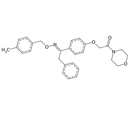 Cc1ccc(CO/N=C(\Cc2ccccc2)c2ccc(OCC(=O)N3CCOCC3)cc2)cc1